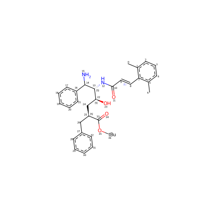 Cc1cccc(C)c1/C=C/C(=O)N[C@@H](C(N)c1ccccc1)[C@@H](O)C[C@H](Cc1ccccc1)C(=O)OC(C)(C)C